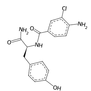 NC(=O)[C@H](Cc1ccc(O)cc1)NC(=O)c1ccc(N)c(Cl)c1